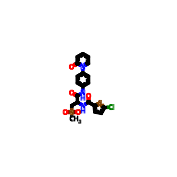 CS(=O)(=O)CC(NC(=O)c1ccc(Cl)s1)C(=O)Nc1ccc(-n2ccccc2=O)cc1